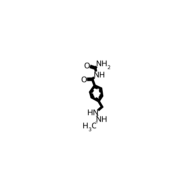 CNNCc1ccc(C(=O)NC(N)=O)cc1